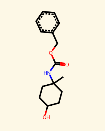 CC1(NC(=O)OCc2ccccc2)CCC(O)CC1